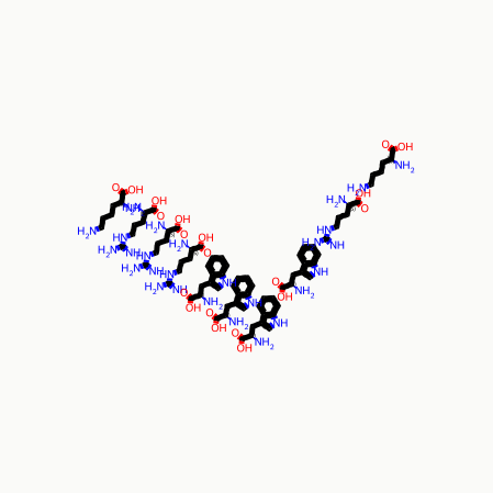 N=C(N)NCCC[C@H](N)C(=O)O.N=C(N)NCCC[C@H](N)C(=O)O.N=C(N)NCCC[C@H](N)C(=O)O.N=C(N)NCCC[C@H](N)C(=O)O.NCCCC[C@H](N)C(=O)O.NCCCC[C@H](N)C(=O)O.N[C@@H](Cc1c[nH]c2ccccc12)C(=O)O.N[C@@H](Cc1c[nH]c2ccccc12)C(=O)O.N[C@@H](Cc1c[nH]c2ccccc12)C(=O)O.N[C@@H](Cc1c[nH]c2ccccc12)C(=O)O